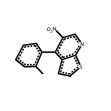 Cc1ccccc1-c1c([N+](=O)[O-])cnc2sccc12